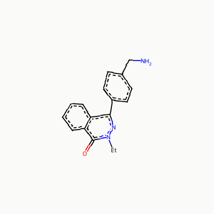 CCn1nc(-c2ccc(CN)cc2)c2ccccc2c1=O